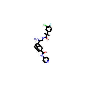 CC(C)(C(=O)NCC(N)C1C2CC3CC1CC(C(=O)Nc1ccncc1)(C3)C2)c1ccc(F)c(Cl)c1